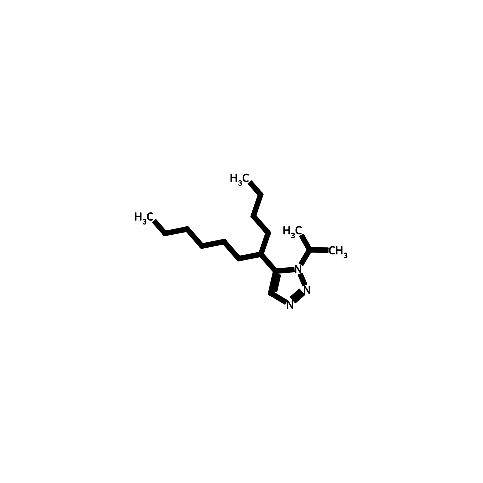 CCCCCCC(CCCC)c1cnnn1C(C)C